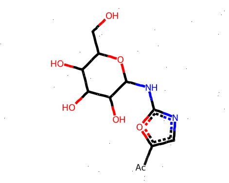 CC(=O)c1cnc(NC2OC(CO)C(O)C(O)C2O)o1